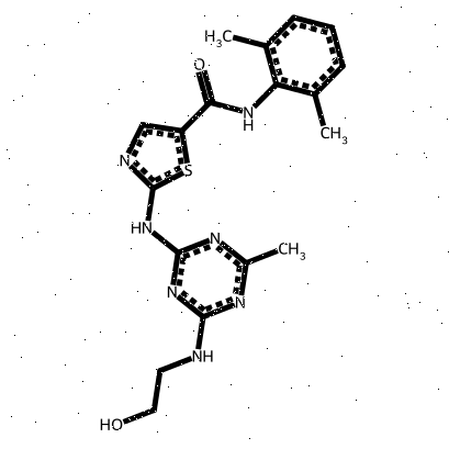 Cc1nc(NCCO)nc(Nc2ncc(C(=O)Nc3c(C)cccc3C)s2)n1